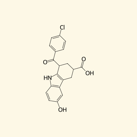 O=C(O)C1Cc2c([nH]c3ccc(O)cc23)C(C(=O)c2ccc(Cl)cc2)C1